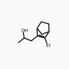 CCC1=C(CC(C)O)C2CCC1C2